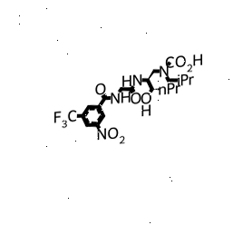 CCC[C@H](O)[C@H](CN(CC(C)C)C(=O)O)NC(=O)CNC(=O)c1cc([N+](=O)[O-])cc(C(F)(F)F)c1